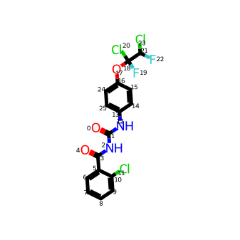 O=C(NC(=O)c1ccccc1Cl)Nc1ccc(OC(F)(Cl)C(F)Cl)cc1